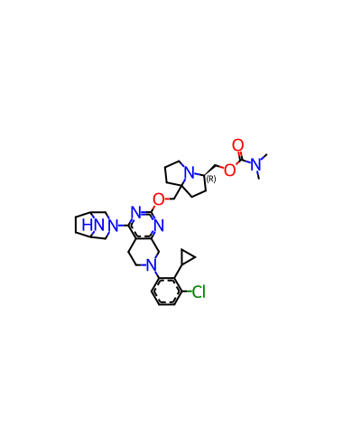 CN(C)C(=O)OC[C@H]1CCC2(COc3nc4c(c(N5CC6CCC(C5)N6)n3)CCN(c3cccc(Cl)c3C3CC3)C4)CCCN12